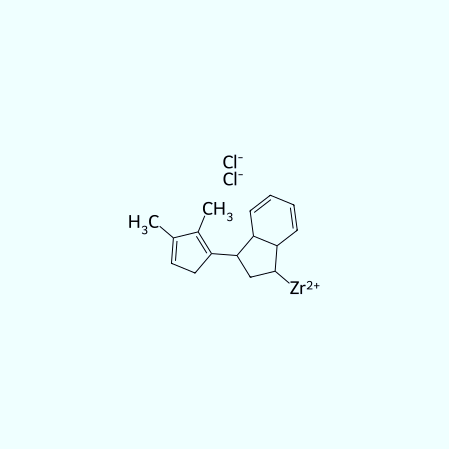 CC1=CCC(C2C[CH]([Zr+2])C3C=CC=CC23)=C1C.[Cl-].[Cl-]